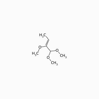 CC=C(OC)C(OC)OC